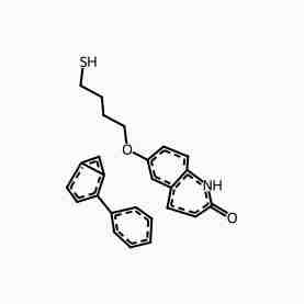 O=c1ccc2cc(OCCCCS)ccc2[nH]1.c1ccc(-c2ccc3cc2-3)cc1